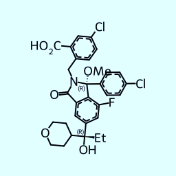 CC[C@](O)(c1cc(F)c2c(c1)C(=O)N(Cc1ccc(Cl)cc1C(=O)O)[C@@]2(OC)c1ccc(Cl)cc1)C1CCOCC1